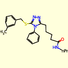 CCCNC(=O)CCCCc1nnc(SCc2cccc(C)c2)n1-c1ccccc1